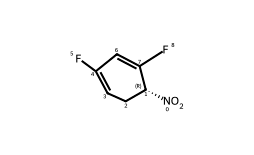 O=[N+]([O-])[C@@H]1CC=C(F)C=C1F